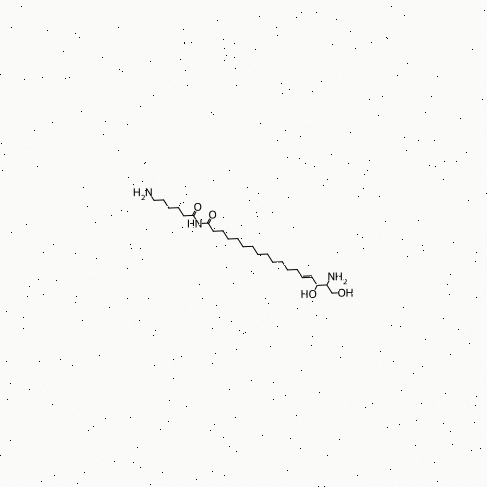 NCCCCCC(=O)NC(=O)CCCCCCCCCCCCC=CC(O)C(N)CO